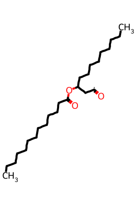 CCCCCCCCCCCCC(=O)OC(C[C]=O)CCCCCCCCC